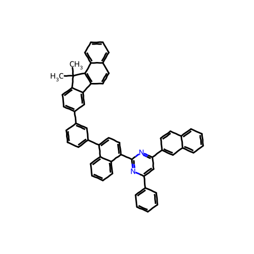 CC1(C)c2ccc(-c3cccc(-c4ccc(-c5nc(-c6ccccc6)cc(-c6ccc7ccccc7c6)n5)c5ccccc45)c3)cc2-c2ccc3ccccc3c21